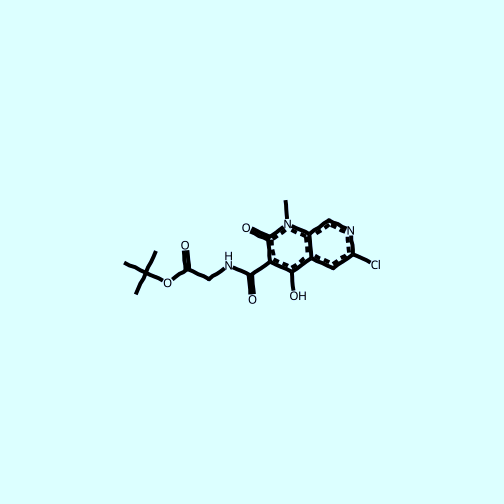 Cn1c(=O)c(C(=O)NCC(=O)OC(C)(C)C)c(O)c2cc(Cl)ncc21